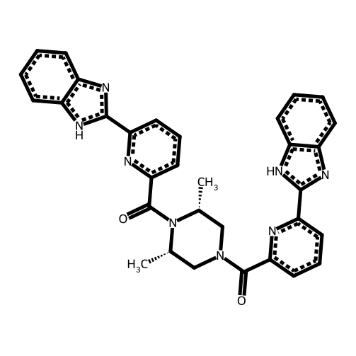 C[C@@H]1CN(C(=O)c2cccc(-c3nc4ccccc4[nH]3)n2)C[C@H](C)N1C(=O)c1cccc(-c2nc3ccccc3[nH]2)n1